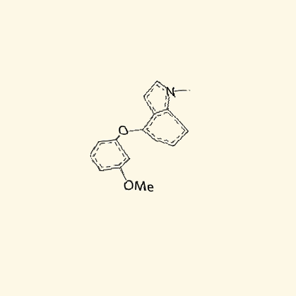 COc1cccc(Oc2cccc3c2ccn3C)c1